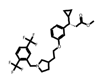 COC(=O)C[C@H](c1cccc(OCCC2CCN(Cc3cc(C(F)(F)F)ccc3C(F)(F)F)C2)c1)C1CC1